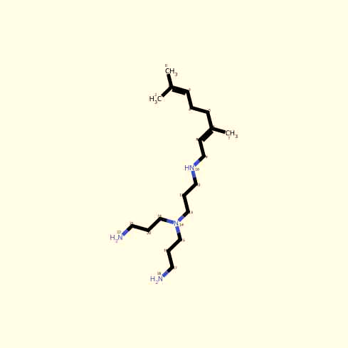 CC(C)=CCCC(C)=CCNCCCN(CCCN)CCCN